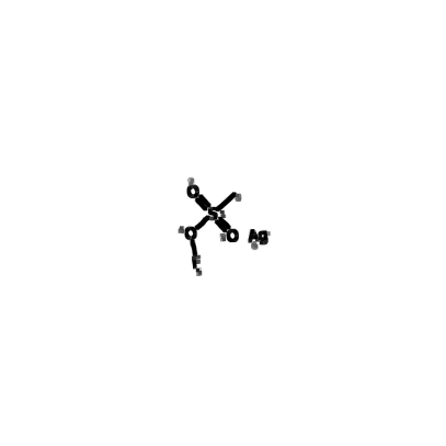 CS(=O)(=O)OF.[Ag]